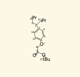 CC(C)CC(c1ccc(OCC(=O)OC(C)(C)C)cc1)C(C)C